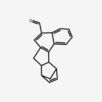 O=Cc1cc2c(c3ccccc13)C1C3C=CC(C3)C1C2